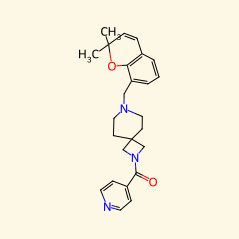 CC1(C)C=Cc2cccc(CN3CCC4(CC3)CN(C(=O)c3ccncc3)C4)c2O1